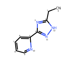 N#CCc1nc(-c2ccccn2)n[nH]1